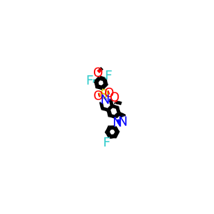 COc1c(F)cc(S(=O)(=O)N2CCC3=Cc4c(cnn4-c4ccc(F)cc4)C[C@]3(C(C)=O)C2)cc1F